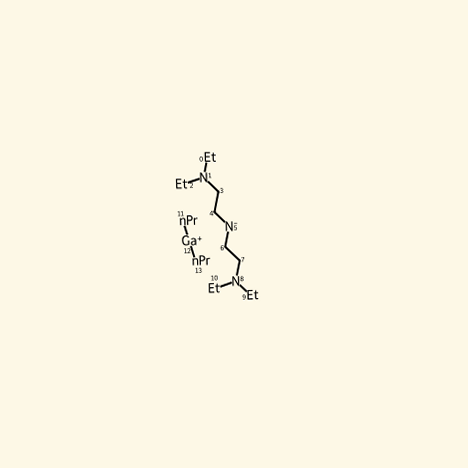 CCN(CC)CC[N-]CCN(CC)CC.CC[CH2][Ga+][CH2]CC